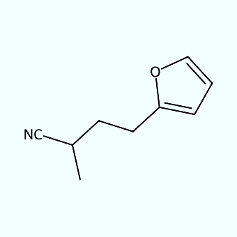 CC(C#N)CCc1ccco1